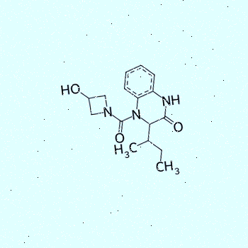 CCC(C)C1C(=O)Nc2ccccc2N1C(=O)N1CC(O)C1